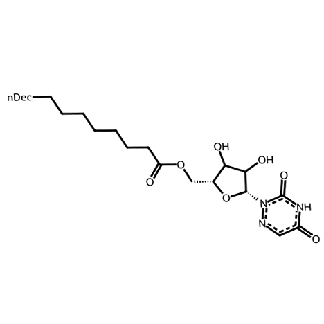 CCCCCCCCCCCCCCCCCC(=O)OC[C@H]1O[C@@H](n2ncc(=O)[nH]c2=O)C(O)C1O